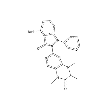 CSc1cccc2c1c(=O)n(-c1ncc3c(n1)N(C)C(C)C(=O)N3C)n2-c1ccccc1